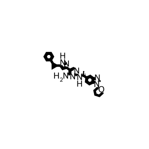 C[C@H](Nc1ncc(-c2cc(C3CC3c3ccccc3)[nH]n2)c(N)n1)c1ccc2c(c1)ncn2C1CCCCO1